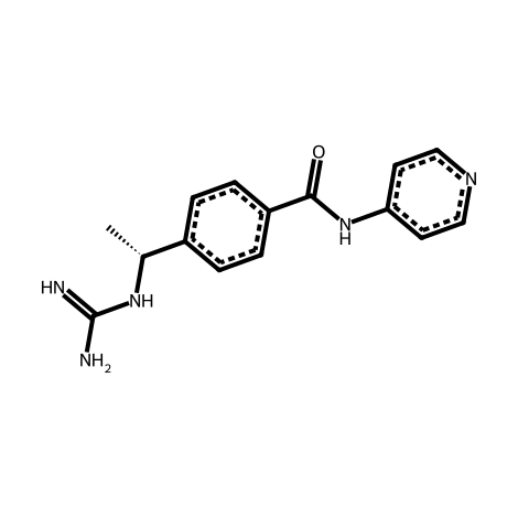 C[C@@H](NC(=N)N)c1ccc(C(=O)Nc2ccncc2)cc1